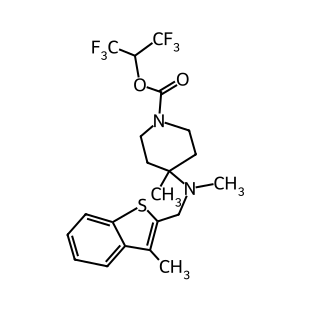 Cc1c(CN(C)C2(C)CCN(C(=O)OC(C(F)(F)F)C(F)(F)F)CC2)sc2ccccc12